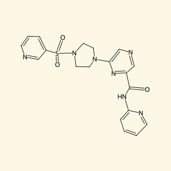 O=C(Nc1ccccn1)c1cncc(N2CCN(S(=O)(=O)c3cccnc3)CC2)n1